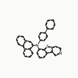 c1ccc(-c2ccc(N(c3cc4ccccc4c4ccccc34)c3cccc4c3sc3ccncc34)cc2)cc1